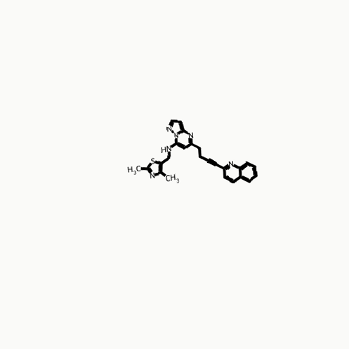 Cc1nc(C)c(CNc2cc(CCC#Cc3ccc4ccccc4n3)nc3ccnn23)s1